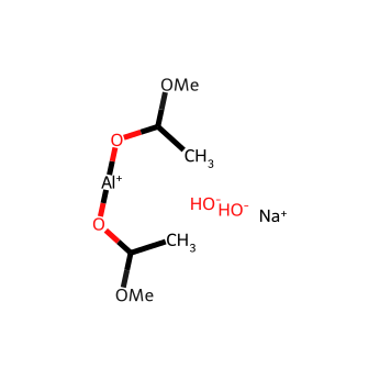 COC(C)[O][Al+][O]C(C)OC.[Na+].[OH-].[OH-]